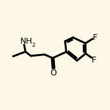 CC(N)CCC(=O)c1ccc(F)c(F)c1